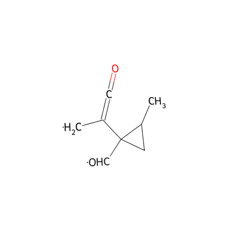 [CH2]C(=C=O)C1([C]=O)CC1C